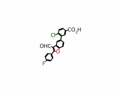 O=Cc1c(-c2ccc(F)cc2)oc2ccc(-c3cc(C(=O)O)ccc3Cl)cc12